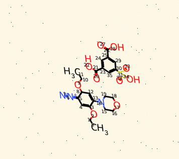 CCOC1=CC(=[N+]=[N-])C(OCC)C=C1N1CCOCC1.O=C(O)c1cc(C(=O)O)cc(S(=O)(=O)O)c1